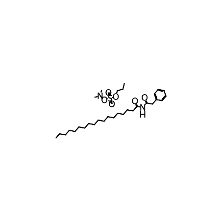 CCCCCCCCCCCCCCCCCC(=O)NC(=O)Cc1ccccc1.CCCOS(=O)(=O)ON(C)C